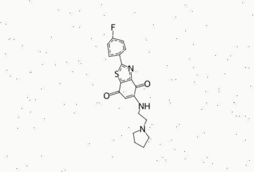 O=C1C(NCCN2CCCC2)=CC(=O)c2sc(-c3ccc(F)cc3)nc21